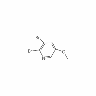 COc1cnc(Br)c(Br)c1